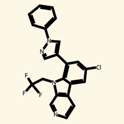 FC(F)(F)Cn1c2cnccc2c2cc(Cl)cc(-c3cnn(-c4ccccc4)c3)c21